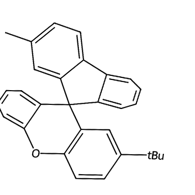 Cc1ccc2c(c1)C1(c3ccccc3Oc3ccc(C(C)(C)C)cc31)c1ccccc1-2